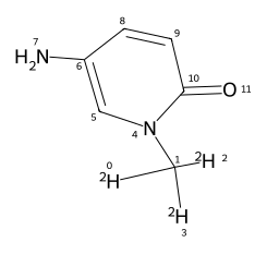 [2H]C([2H])([2H])n1cc(N)ccc1=O